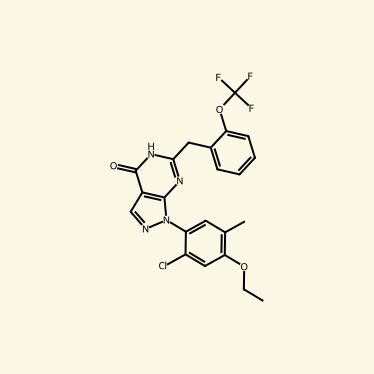 CCOc1cc(Cl)c(-n2ncc3c(=O)[nH]c(Cc4ccccc4OC(F)(F)F)nc32)cc1C